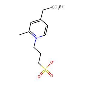 CCOC(=O)Cc1cc[n+](CCCS(=O)(=O)[O-])c(C)c1